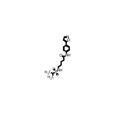 CC(C)S(=O)(=O)NCCCCC(=O)Nc1ccc(-c2ccno2)cc1